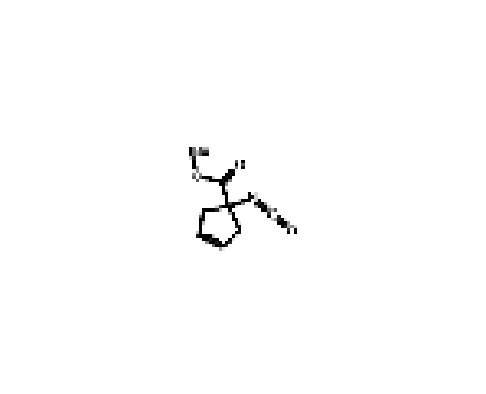 CC(C)(C)OC(=O)C1(N=C=O)CC=CC1